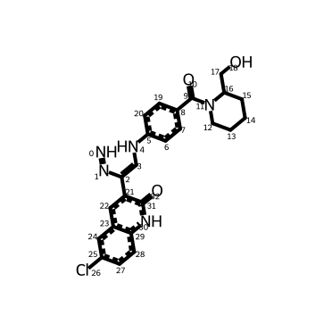 N=N/C(=C\Nc1ccc(C(=O)N2CCCCC2CO)cc1)c1cc2cc(Cl)ccc2[nH]c1=O